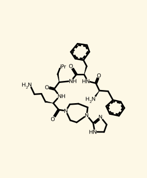 CC(C)C[C@@H](NC(=O)[C@@H](Cc1ccccc1)NC(=O)[C@H](N)Cc1ccccc1)C(=O)N[C@H](CCCN)C(=O)N1CCCN(C2=NCCN2)CC1